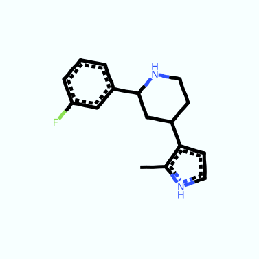 Cc1[nH]ccc1C1CCNC(c2cccc(F)c2)C1